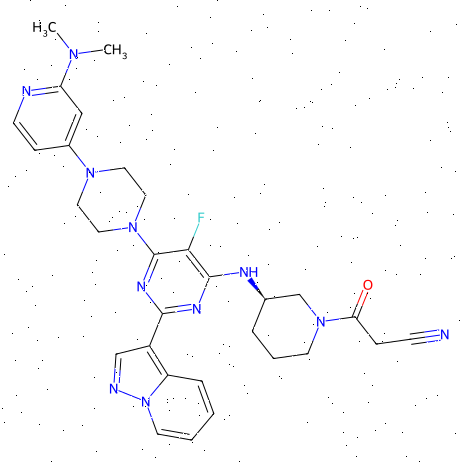 CN(C)c1cc(N2CCN(c3nc(-c4cnn5ccccc45)nc(N[C@@H]4CCCN(C(=O)CC#N)C4)c3F)CC2)ccn1